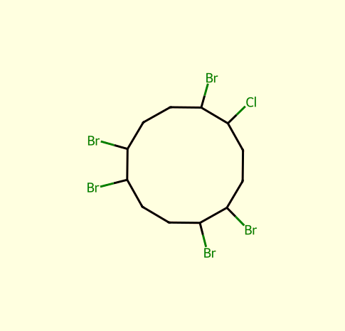 ClC1CCC(Br)C(Br)CCC(Br)C(Br)CCC1Br